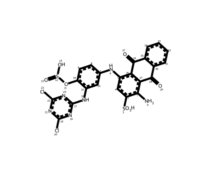 Nc1c(S(=O)(=O)O)cc(Nc2ccc(OS(=O)O)c(Nc3nc(Cl)nc(Cl)n3)c2)c2c1C(=O)c1ccccc1C2=O